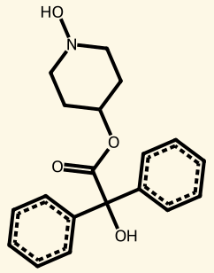 O=C(OC1CCN(O)CC1)C(O)(c1ccccc1)c1ccccc1